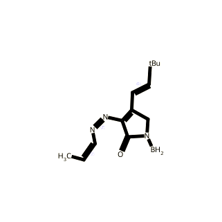 BN1CC(/C=C/C(C)(C)C)=C(/N=N\C=C/C)C1=O